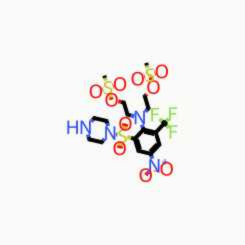 CS(=O)(=O)OCCN(CCOS(C)(=O)=O)c1c(C(F)(F)F)cc([N+](=O)[O-])cc1S(=O)(=O)N1CCNCC1